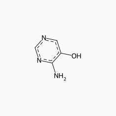 Nc1ncncc1O